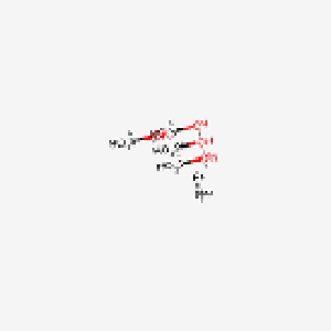 O=S(=O)(O)O.O=S(=O)(O)O.O=S(=O)(O)O.O=S(=O)(O)O.[Fe].[Mo]